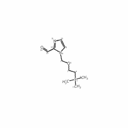 CS(C)(C)CCOCn1ccnc1C=O